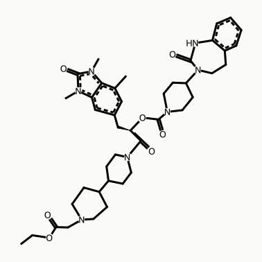 CCOC(=O)CN1CCC(C2CCN(C(=O)[C@@H](Cc3cc(C)c4c(c3)n(C)c(=O)n4C)OC(=O)N3CCC(N4CCc5ccccc5NC4=O)CC3)CC2)CC1